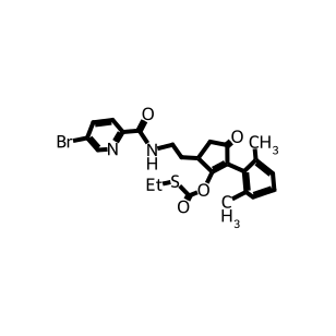 CCSC(=O)OC1=C(c2c(C)cccc2C)C(=O)CC1CCNC(=O)c1ccc(Br)cn1